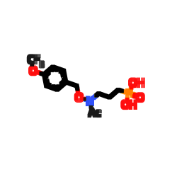 CC(=O)N(CCCP(=O)(O)O)OCc1ccc(OC(F)(F)F)cc1